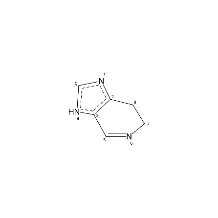 [c]1nc2c([nH]1)C=NCC2